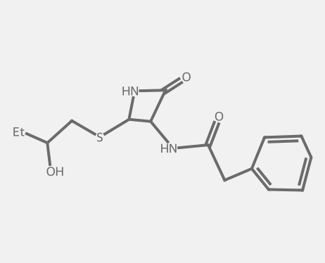 CCC(O)CSC1NC(=O)C1NC(=O)Cc1ccccc1